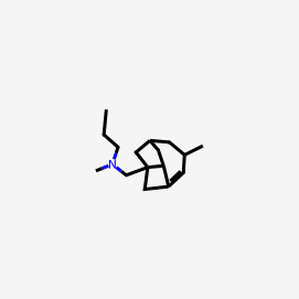 CCCN(C)CC12CC3=CC(C)CC(CC31)C2